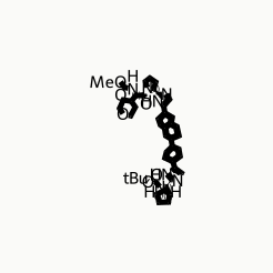 COC(=O)N[C@H](C(=O)N1CCC[C@H]1c1ncc(-c2ccc3cc(-c4ccc(-c5cnc([C@@H]6[C@H]7CC[C@H](C7)N6C(=O)OC(C)(C)C)[nH]5)cc4)ccc3c2)[nH]1)C1CCOCC1